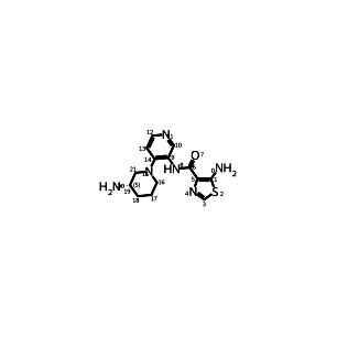 Nc1scnc1C(=O)Nc1cnccc1N1CCC[C@H](N)C1